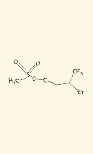 CCC(CCOS(C)(=O)=O)C(F)(F)F